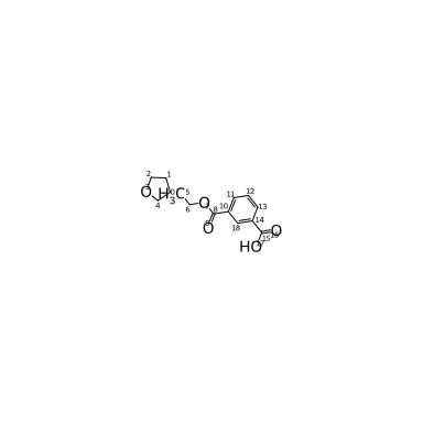 C1CCOC1.CCOC(=O)c1cccc(C(=O)O)c1